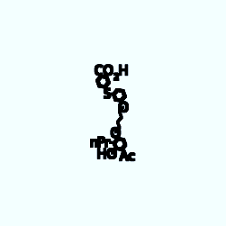 CCCc1c(OCCCCOc2cccc(Sc3ccc(C(=O)O)cc3)c2)ccc(C(C)=O)c1O